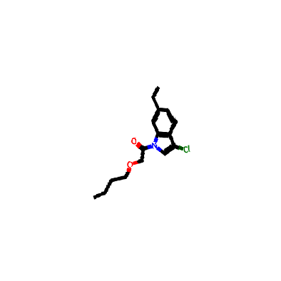 CCCCOCC(=O)n1cc(Cl)c2ccc(CC)cc21